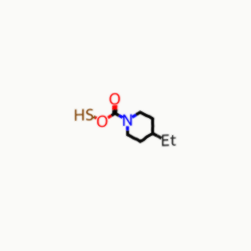 CCC1CCN(C(=O)OS)CC1